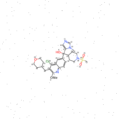 COc1nc2ccc(C(O)(c3cncn3C)C3CCN(S(C)(=O)=O)CC3)cc2c(Cl)c1CC1CCOCC1